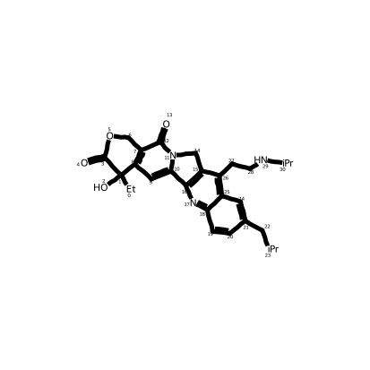 CCC1(O)C(=O)OCc2c1cc1n(c2=O)Cc2c-1nc1ccc(CC(C)C)cc1c2CCNC(C)C